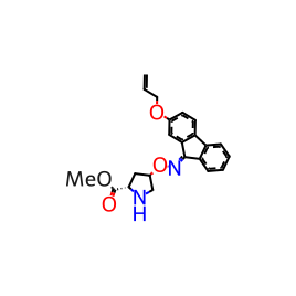 C=CCOc1ccc2c(c1)/C(=N\O[C@H]1CN[C@H](C(=O)OC)C1)c1ccccc1-2